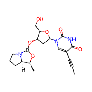 CC#Cc1cn(C2C[C@@H](OB3O[C@@H](C)[C@H]4CCCN34)C(CO)O2)c(=O)[nH]c1=O